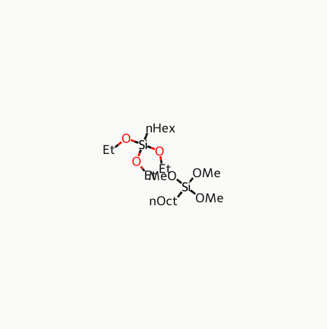 CCCCCCCC[Si](OC)(OC)OC.CCCCCC[Si](OCC)(OCC)OCC